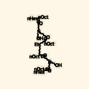 CCCCCCCCC(CCCCCC)COC(=O)CCCCCN(CCCO)CCCCCC(=O)OCC(CCCCCCCC)CCCC(CC)CCCCCCC(CCCCCCCC)COC(=O)CCCCN(CCCCO)CCCCC(=O)OCC(CCCCCC)CCCCCCCC